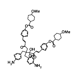 COC1CCC(C(=O)Oc2ccc(C=CC(=O)CC(Cc3ccc(N)cc3)(Cc3ccc(N)cc3)C(O)(O)C(=O)C=Cc3ccc(OC(=O)C4CCC(OC)CC4)cc3)cc2)CC1